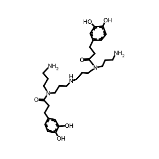 NCCCN(CCCNCCCN(CCCN)C(=O)CCc1ccc(O)c(O)c1)C(=O)CCc1ccc(O)c(O)c1